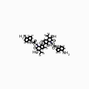 Cc1cc2c(c(O)c1-c1c(C)cc3c(c1O)/C(=C/OC(=O)Nc1cccc4c(N)cccc14)C(=O)C(O)=C3C(C)C)/C(=C/OC(=O)Nc1cccc3c(N)cccc13)C(=O)C(O)=C2C(C)C